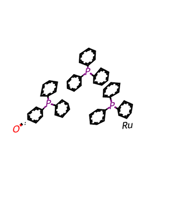 [C]=O.[Ru].c1ccc(P(c2ccccc2)c2ccccc2)cc1.c1ccc(P(c2ccccc2)c2ccccc2)cc1.c1ccc(P(c2ccccc2)c2ccccc2)cc1